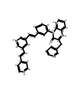 O=c1c(Cc2cccnc2)nc2cccnc2n1-c1cccc(/C=C/c2cncc(/C=C/c3ccncc3)c2)c1